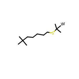 CC(C)(C)CCCCCS[C](C)(C)[W]